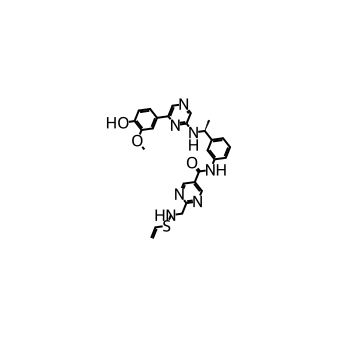 C=CSNCc1ncc(C(=O)Nc2cccc([C@H](C)Nc3cncc(-c4ccc(O)c(OC)c4)n3)c2)cn1